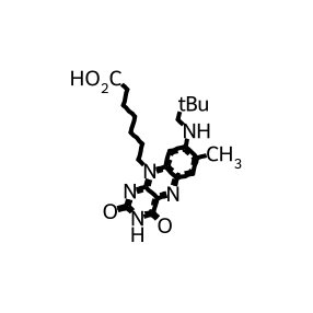 Cc1cc2nc3c(=O)[nH]c(=O)nc-3n(CCCCCCC(=O)O)c2cc1NCC(C)(C)C